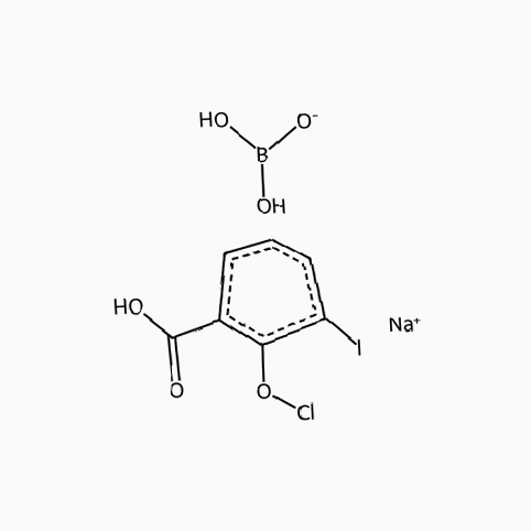 O=C(O)c1cccc(I)c1OCl.[Na+].[O-]B(O)O